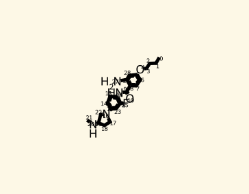 CCCCOc1ccc(C(=O)Nc2ccc(N3CCC(NC)C3)cc2F)c(N)c1